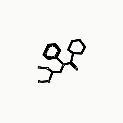 CCOC(CN(C(=O)C1CCCCC1)c1ccccc1)OCC